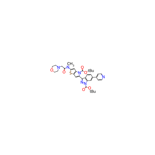 CN(C(=O)CN1CCOCC1)c1cc2c(cc(-c3nn(C(=O)OC(C)(C)C)c4cc(-c5ccncc5)ccc34)n2C(=O)OC(C)(C)C)s1